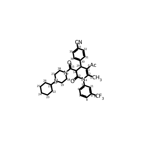 CC(=O)C1=C(C)N(c2cccc(C(F)(F)F)c2)C(=O)C(C(=O)N2CCN(C3CCCCC3)CC2)C1c1ccc(C#N)cc1